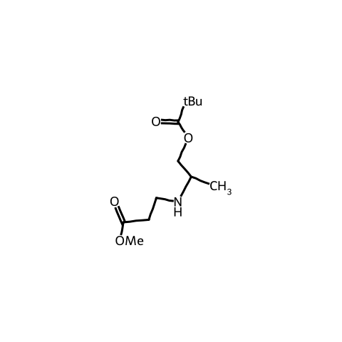 COC(=O)CCNC(C)COC(=O)C(C)(C)C